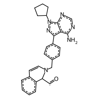 Nc1ncnc2c1c(-c1ccc(CN3C=Cc4ccccc4C3[C]=O)cc1)nn2C1CCCC1